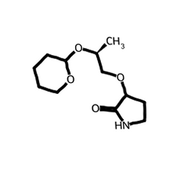 C[C@@H](COC1CCNC1=O)OC1CCCCO1